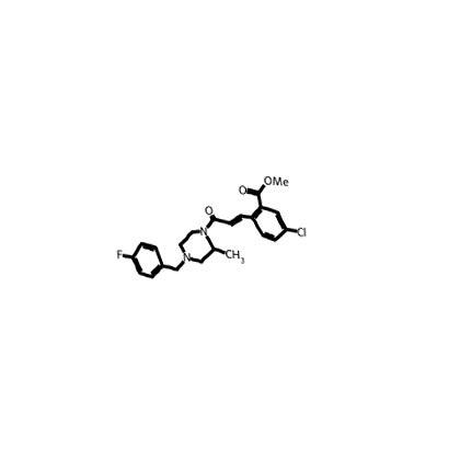 COC(=O)c1cc(Cl)ccc1C=CC(=O)N1CCN(Cc2ccc(F)cc2)CC1C